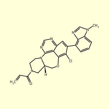 C=CC(=O)N1CCN2c3ncnc4cc(-c5cccc6c5ncn6C)c(Cl)c(c34)OC[C@@H]2C1